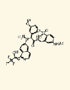 CCOc1cccc(C(C(=O)NCc2cc(NC(C)=O)ccc2S(=O)(=O)CC)N(N)c2ccc3cnccc3c2)c1.O=C(O)C(F)(F)F